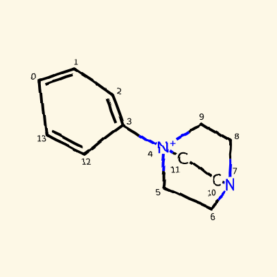 c1ccc([N+]23CCN(CC2)CC3)cc1